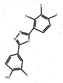 Oc1ccc(-c2nnc(-c3ccc(F)c(F)c3F)s2)cc1F